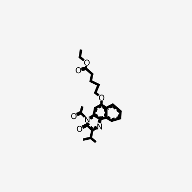 CCOC(=O)CCCCOc1cc2c(nc(C(C)C)c(=O)n2C(C)=O)c2ccccc12